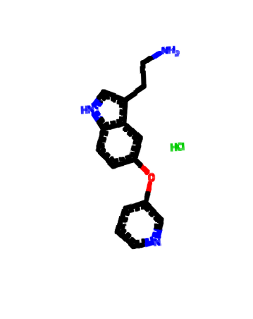 Cl.NCCc1c[nH]c2ccc(Oc3cccnc3)cc12